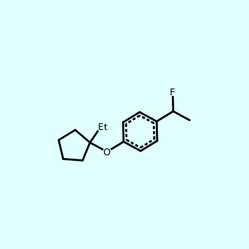 CCC1(Oc2ccc(C(C)F)cc2)CCCC1